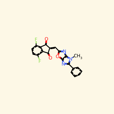 Cn1c(-c2ccccc2)nc2oc(C=C3C(=O)c4c(F)ccc(F)c4C3=O)nc21